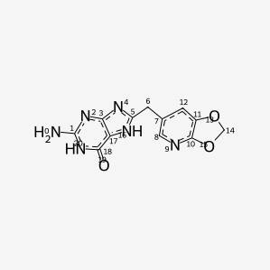 Nc1nc2nc(Cc3cnc4c(c3)OCO4)[nH]c2c(=O)[nH]1